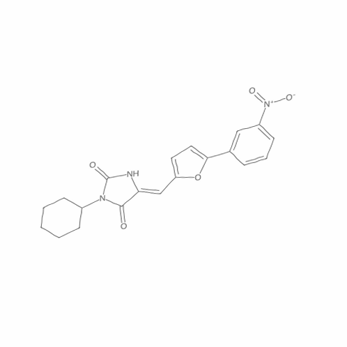 O=C1N/C(=C\c2ccc(-c3cccc([N+](=O)[O-])c3)o2)C(=O)N1C1CCCCC1